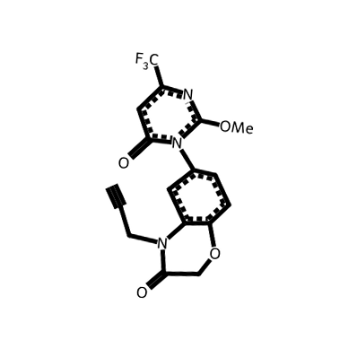 C#CCN1C(=O)COc2ccc(-n3c(OC)nc(C(F)(F)F)cc3=O)cc21